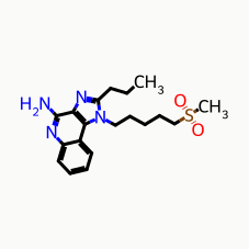 CCCc1nc2c(N)nc3ccccc3c2n1CCCCCS(C)(=O)=O